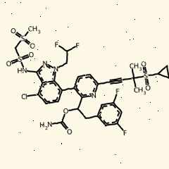 CC(C)(C#Cc1ccc(-c2ccc(Cl)c3c(NS(=O)(=O)CS(C)(=O)=O)nn(CC(F)F)c23)c(C(Cc2cc(F)cc(F)c2)OC(N)=O)n1)S(=O)(=O)C1CC1